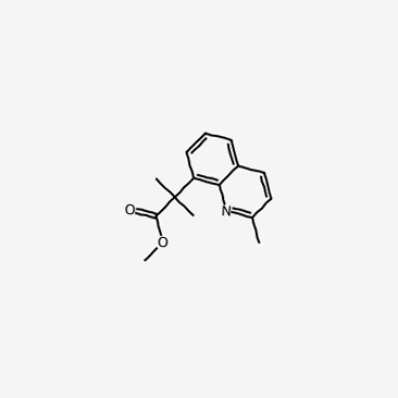 COC(=O)C(C)(C)c1cccc2ccc(C)nc12